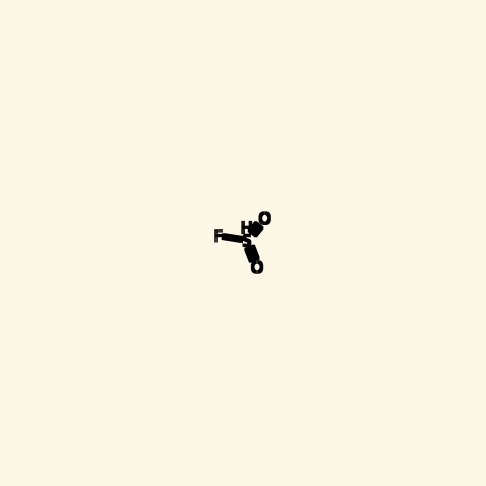 O=[SH](=O)F